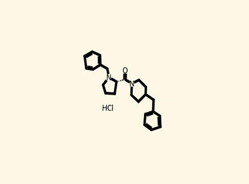 Cl.O=C([C@@H]1CCCN1Cc1ccccc1)N1CCC(Cc2ccccc2)CC1